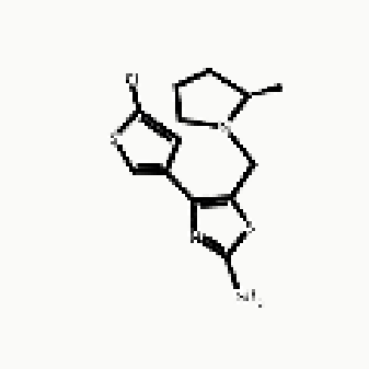 C[C@@H]1CCCN1Cc1sc(N)nc1-c1csc(Cl)c1